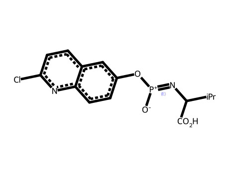 CC(C)C(/N=[P+](\[O-])Oc1ccc2nc(Cl)ccc2c1)C(=O)O